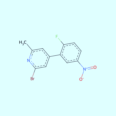 Cc1cc(-c2cc([N+](=O)[O-])ccc2F)cc(Br)n1